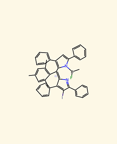 CB(F)n1c(-c2ccccc2)cc(-c2ccccc2)c1/C(=C1\N=C(c2ccccc2)C(I)=C1c1ccccc1)c1c(C)cc(C)cc1C